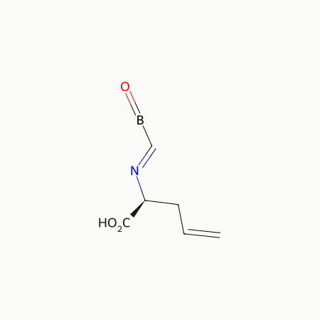 C=CC[C@H](/N=C/B=O)C(=O)O